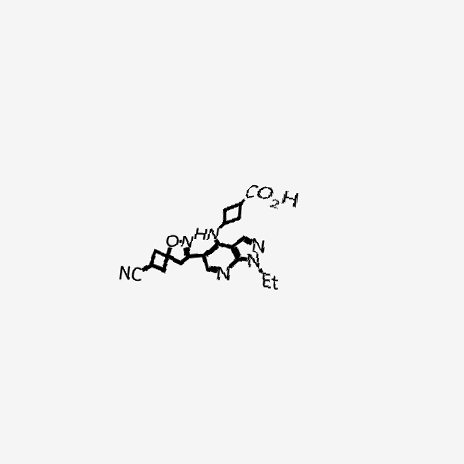 CCn1ncc2c(NC3CC(C(=O)O)C3)c(C3=NOC4(C3)CC(C#N)C4)cnc21